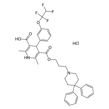 CC1=C(C(=O)O)C(c2cccc(OC(F)(F)C(F)F)c2)C(C(=O)OCCCN2CCC(c3ccccc3)(c3ccccc3)CC2)=C(C)N1.Cl